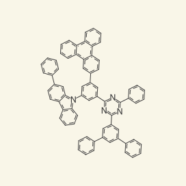 c1ccc(-c2cc(-c3ccccc3)cc(-c3nc(-c4ccccc4)nc(-c4cc(-c5ccc6c7ccccc7c7ccccc7c6c5)cc(-n5c6ccccc6c6ccc(-c7ccccc7)cc65)c4)n3)c2)cc1